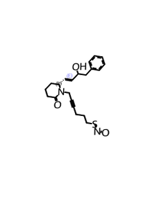 O=NSCCCC#CCN1C(=O)CCC[C@@H]1/C=C/C(O)Cc1ccccc1